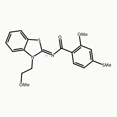 COCCn1/c(=N/C(=O)c2ccc(SC)cc2OC)sc2ccccc21